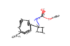 CC(C)(C)OC(=O)NC1(c2cccc(C=O)c2)CCC1